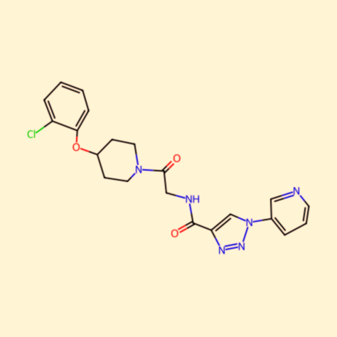 O=C(NCC(=O)N1CCC(Oc2ccccc2Cl)CC1)c1cn(-c2cccnc2)nn1